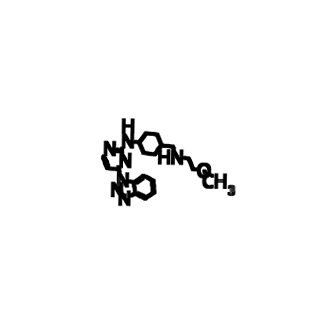 COCCNCC1CCC(Nc2nccc(-n3nnc4ccccc43)n2)CC1